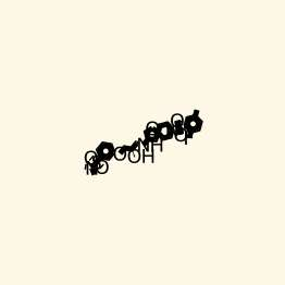 Cc1ccc(F)c(S(=O)(=O)N2CCC3(CC2)CC(NC[C@H](O)COc2cccc(S(=O)(=O)N(C)C)c2)CO3)c1